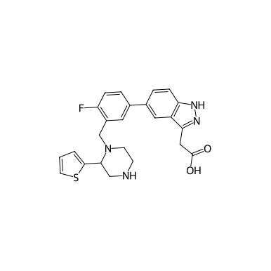 O=C(O)Cc1n[nH]c2ccc(-c3ccc(F)c(CN4CCNCC4c4cccs4)c3)cc12